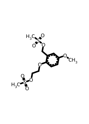 COc1ccc(OCCOS(C)(=O)=O)c(COS(C)(=O)=O)c1